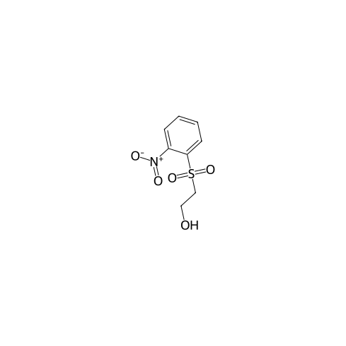 O=[N+]([O-])c1ccccc1S(=O)(=O)CCO